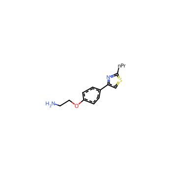 CCCc1nc(-c2ccc(OCCN)cc2)cs1